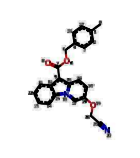 Cc1ccc(COC(=O)c2c3ccccc3n3cc(OCC#N)ccc23)cc1